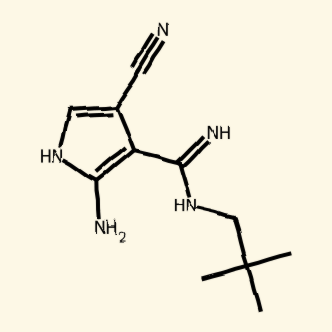 CC(C)(C)CNC(=N)c1c(C#N)c[nH]c1N